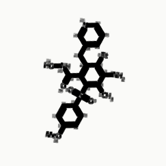 CCc1c(N)c(C)c(S(=O)(=O)c2ccc(OC)cc2)c(C(=O)NO)c1Cc1cccnc1